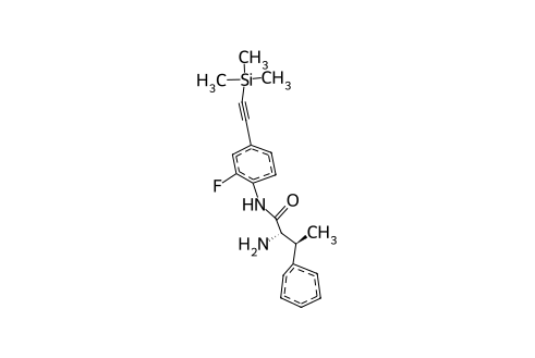 C[C@@H](c1ccccc1)[C@H](N)C(=O)Nc1ccc(C#C[Si](C)(C)C)cc1F